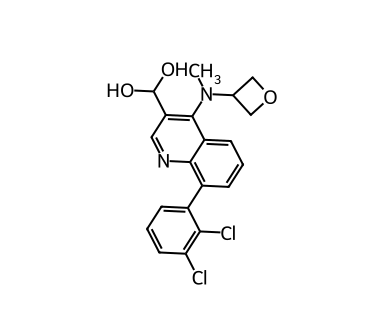 CN(c1c(C(O)O)cnc2c(-c3cccc(Cl)c3Cl)cccc12)C1COC1